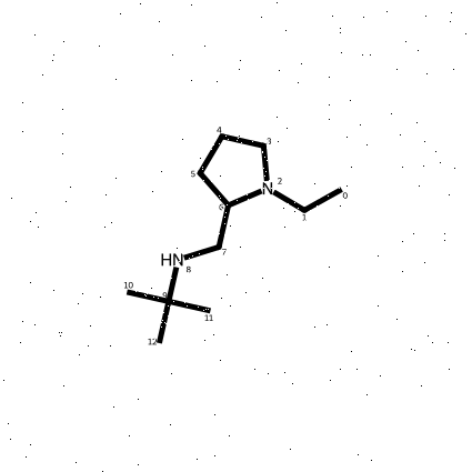 CCN1CCCC1CNC(C)(C)C